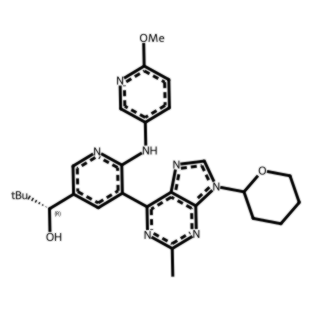 COc1ccc(Nc2ncc([C@H](O)C(C)(C)C)cc2-c2nc(C)nc3c2ncn3C2CCCCO2)cn1